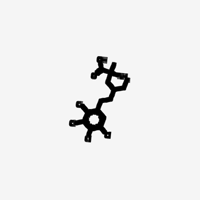 CCC(CCc1cc(Cl)c(Cl)c(Cl)c1Cl)CC(C)(N)C(=O)O